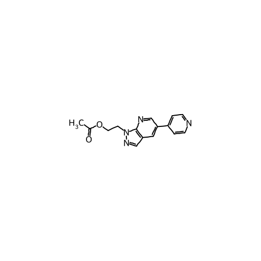 CC(=O)OCCn1ncc2cc(-c3ccncc3)cnc21